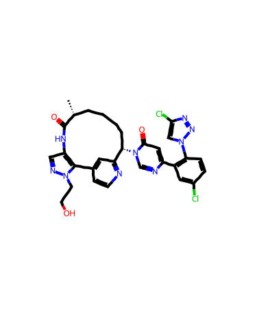 C[C@@H]1CCCC[C@H](n2cnc(-c3cc(Cl)ccc3-n3cc(Cl)nn3)cc2=O)c2cc(ccn2)-c2c(cnn2CCO)NC1=O